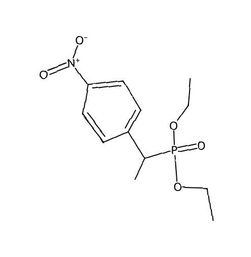 CCOP(=O)(OCC)C(C)c1ccc([N+](=O)[O-])cc1